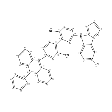 N#Cc1ccc2c(c1)c1ccccc1n2-c1ccc(C#N)c(-c2ccc(-c3c4ccccc4c(-c4ccccc4)c4ccccc34)cc2C#N)c1